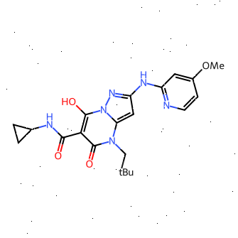 COc1ccnc(Nc2cc3n(CC(C)(C)C)c(=O)c(C(=O)NC4CC4)c(O)n3n2)c1